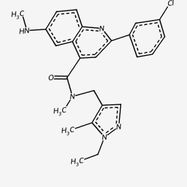 CCn1ncc(CN(C)C(=O)c2cc(-c3cccc(Cl)c3)nc3ccc(NC)cc23)c1C